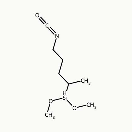 CO[SiH](OC)C(C)CCCN=C=O